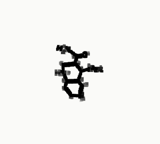 CCCCCC1C(C(N)=O)=CNc2ccncc21